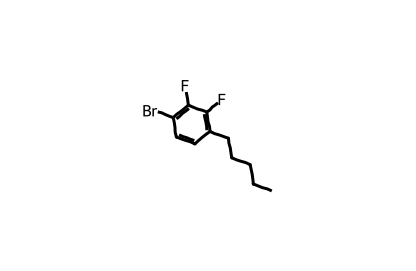 CCCCCc1ccc(Br)c(F)c1F